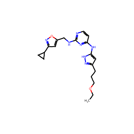 CCOCCCc1cc(Nc2ccnc(NCc3cc(C4CC4)no3)n2)[nH]n1